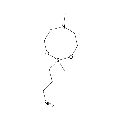 CN1CCO[Si](C)(CCCN)OCC1